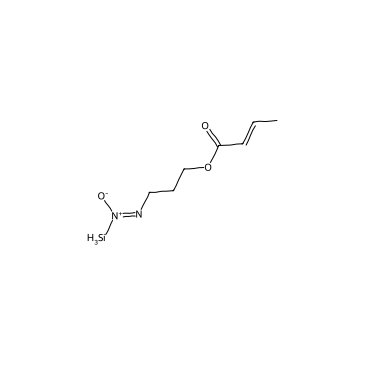 CC=CC(=O)OCCC/N=[N+](\[O-])[SiH3]